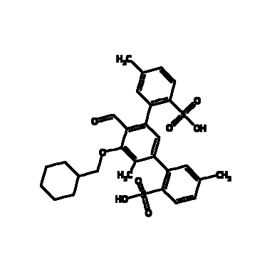 Cc1ccc(S(=O)(=O)O)c(-c2cc(-c3cc(C)ccc3S(=O)(=O)O)c(C=O)c(OCC3CCCCC3)c2C)c1